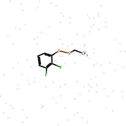 Fc1cccc(SSCC(F)(F)F)c1F